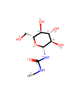 CCCNC(=O)N[C@@H]1O[C@H](CO)[C@@H](O)[C@H](O)[C@H]1O